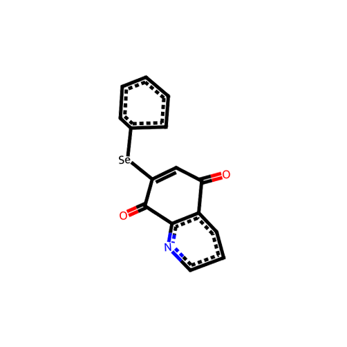 O=C1C=C([Se]c2ccccc2)C(=O)c2ncccc21